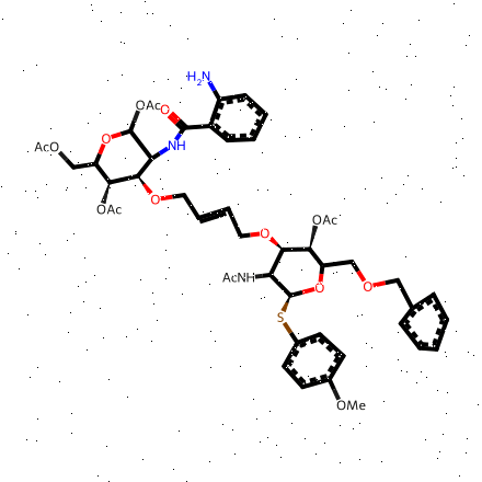 COc1ccc(S[C@@H]2OC(COCc3ccccc3)[C@H](OC(C)=O)[C@H](OC/C=C/CO[C@@H]3C(NC(=O)c4ccccc4N)C(OC(C)=O)OC(COC(C)=O)[C@@H]3OC(C)=O)C2NC(C)=O)cc1